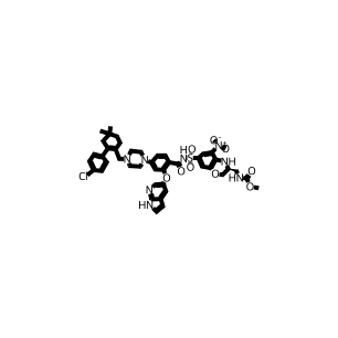 COC(=O)NC[C@H]1COc2cc(S(=O)(=O)NC(=O)c3ccc(N4CCN(CC5=C(c6ccc(Cl)cc6)CC(C)(C)CC5)CC4)cc3Oc3cnc4[nH]ccc4c3)cc([N+](=O)[O-])c2N1